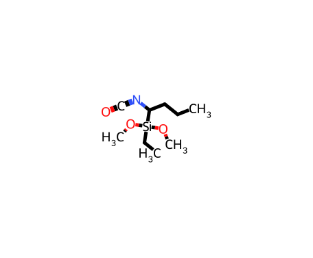 CCCC(N=C=O)[Si](CC)(OC)OC